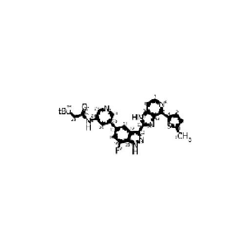 Cc1ccc(-c2nccc3[nH]c(-c4n[nH]c5c(F)cc(-c6cncc(NC(=O)CC(C)(C)C)c6)cc45)nc23)s1